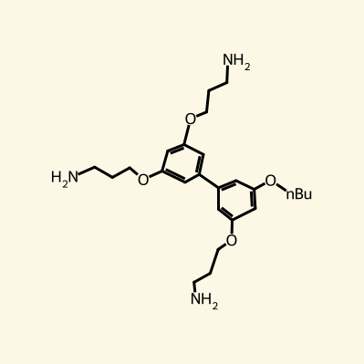 CCCCOc1cc(OCCCN)cc(-c2cc(OCCCN)cc(OCCCN)c2)c1